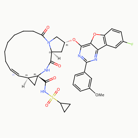 COc1cccc(-c2nc(O[C@@H]3C[C@H]4C(=O)N[C@]5(C(=O)NS(=O)(=O)C6CC6)C[C@H]5/C=C\CCCCCCC(=O)N4C3)c3oc4ccc(F)cc4c3n2)c1